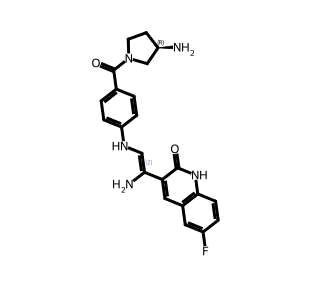 N/C(=C\Nc1ccc(C(=O)N2CC[C@@H](N)C2)cc1)c1cc2cc(F)ccc2[nH]c1=O